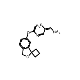 C=C(/N=C\C(N)=C/N)Oc1ccc2c(c1)C1(CCC1)OC2